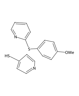 COc1ccc(Sc2ccccn2)cc1.Sc1ccncc1